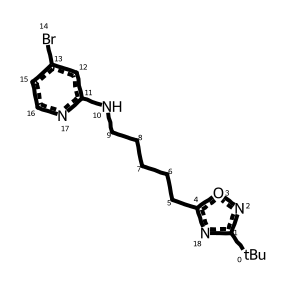 CC(C)(C)c1noc(CCCCCNc2cc(Br)ccn2)n1